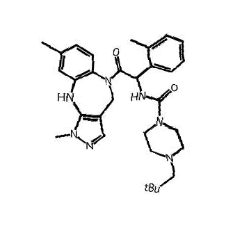 Cc1ccc2c(c1)Nc1c(cnn1C)CN2C(=O)C(NC(=O)N1CCN(CC(C)(C)C)CC1)c1ccccc1C